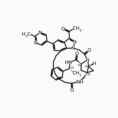 CC(=O)c1nn2c3c(cc(-c4cnc(C)nc4)cc13)CCCCCCC(=O)NC[C@@]13C[C@@H](C(=O)N[C@H](C)c4ccccc4)N(C(=O)C2)[C@@H]1C3